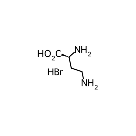 Br.NCC[C@H](N)C(=O)O